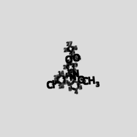 COc1ccccc1-n1nc2c(c1-c1ccc(Cl)cc1)C[C@H](OC(=O)C1CCC1)C2